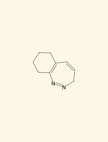 C1=CC2=C(CCCC2)N=NC1